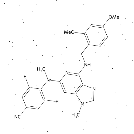 CCc1cc(C#N)cc(F)c1N(C)c1cc2c(ncn2C)c(NCc2ccc(OC)cc2OC)n1